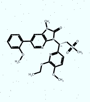 CCOc1nc([C@@H](CS(C)(=O)=O)n2c(=O)n(C)c3cc(-c4ccccc4OC)cnc32)ccc1OC